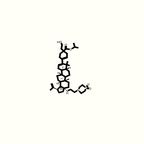 C=C(C)[C@@H]1CC[C@]2(NCCN3CCS(=O)(=O)CC3)CC[C@]3(C)[C@H](CC[C@@H]4[C@@]5(C)CC=C(C6=CCC(CCO)(C(=O)OC(C)C)CC6)C(C)(C)[C@@H]5CC[C@]43C)[C@@H]12